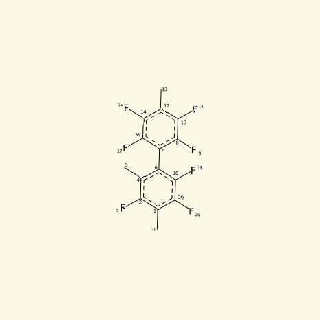 Cc1c(F)c(C)c(-c2c(F)c(F)c(C)c(F)c2F)c(F)c1F